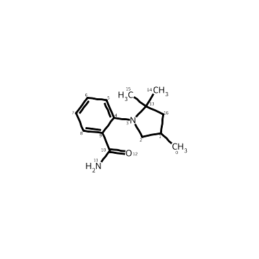 CC1CN(c2ccccc2C(N)=O)C(C)(C)C1